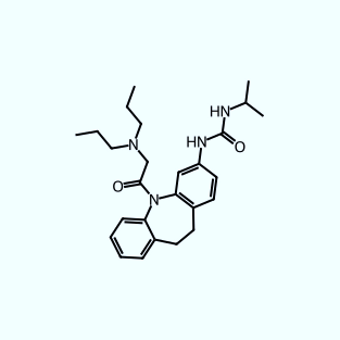 CCCN(CCC)CC(=O)N1c2ccccc2CCc2ccc(NC(=O)NC(C)C)cc21